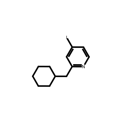 Ic1ccnc(CC2CCCCC2)c1